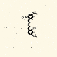 O=[N+]([O-])c1ccc(CCSCCc2ccc([N+](=O)[O-])cc2[N+](=O)[O-])c([N+](=O)[O-])c1